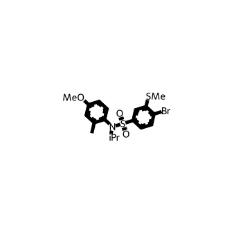 COc1ccc(N(C(C)C)S(=O)(=O)c2ccc(Br)c(SC)c2)c(C)c1